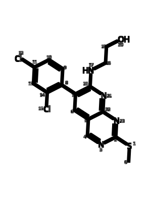 CSc1ncc2cc(-c3ccc(Cl)cc3Cl)c(NCCO)nc2n1